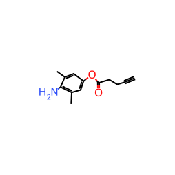 C#CCCC(=O)Oc1cc(C)c(N)c(C)c1